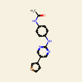 CC(=O)Nc1ccc(Nc2ncc(-c3ccsc3)cn2)cc1